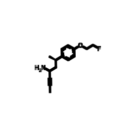 CC#CC(N)C[C@@H](C)c1ccc(OCCF)cc1